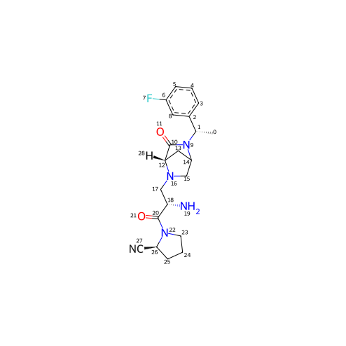 C[C@@H](c1cccc(F)c1)N1C(=O)[C@@H]2CC1CN2C[C@H](N)C(=O)N1CCC[C@H]1C#N